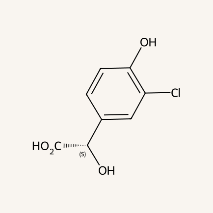 O=C(O)[C@@H](O)c1ccc(O)c(Cl)c1